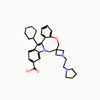 O=C(O)c1ccc2c(C3CCCCC3)c3n(c2c1)CC1(COc2ccccc2-3)CN(CCN2CCCC2)C1